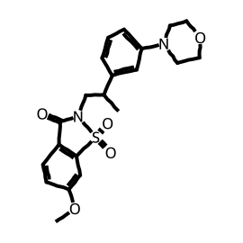 COc1ccc2c(c1)S(=O)(=O)N(CC(C)c1cccc(N3CCOCC3)c1)C2=O